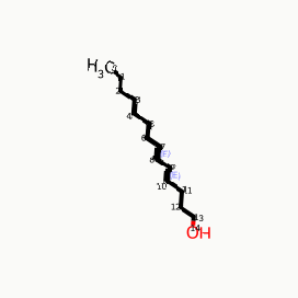 CCCCCCC/C=C/C=C/CCCO